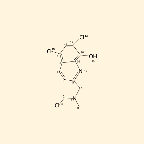 CN(CCl)Cc1ccc2c(Cl)cc(Cl)c(O)c2n1